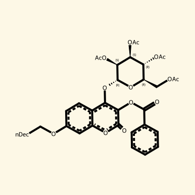 CCCCCCCCCCCOc1ccc2c(O[C@H]3O[C@H](COC(C)=O)[C@@H](OC(C)=O)[C@H](OC(C)=O)[C@@H]3OC(C)=O)c(OC(=O)c3ccccc3)c(=O)oc2c1